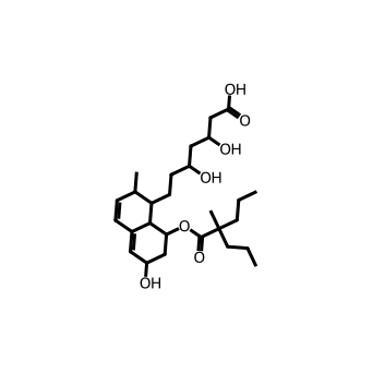 CCCC(C)(CCC)C(=O)OC1CC(O)C=C2C=CC(C)C(CCC(O)CC(O)CC(=O)O)C21